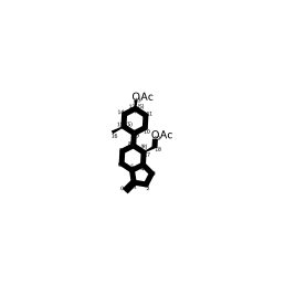 C=C1CCC2C1CCC(C1CC[C@H](OC(C)=O)C[C@@H]1C)[C@H]2COC(C)=O